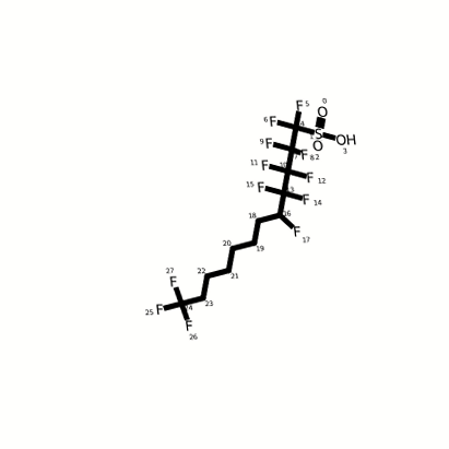 O=S(=O)(O)C(F)(F)C(F)(F)C(F)(F)C(F)(F)C(F)CCCCCCC(F)(F)F